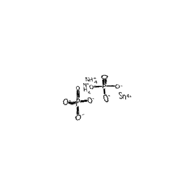 O=P([O-])([O-])[O-].O=P([O-])([O-])[O-].[NH4+].[NH4+].[Sn+4]